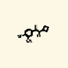 N#Cc1ccc(NC(=O)C2CCC2)cc1C(F)(F)F